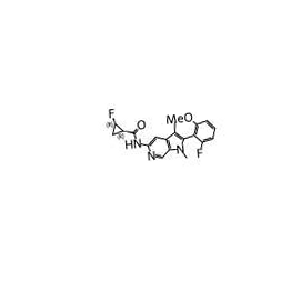 COc1cccc(F)c1-c1c(C)c2cc(NC(=O)[C@H]3C[C@H]3F)ncc2n1C